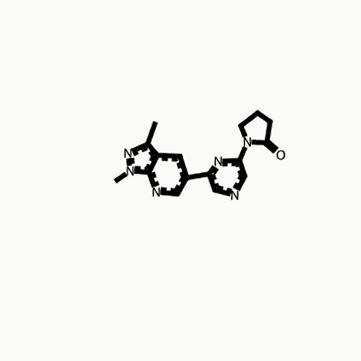 Cc1nn(C)c2ncc(-c3cncc(N4CCCC4=O)n3)cc12